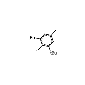 [CH2]c1c(C(C)(C)C)cc(C)cc1C(C)(C)C